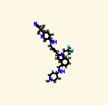 CN1CCC(NCc2cccc3c2cc(C#CCNc2ccc(C(C)(C)C#N)nc2)n3CC(F)(F)F)CC1